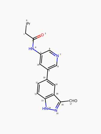 CC(C)CC(=O)Nc1cncc(-c2ccc3[nH]nc(C=O)c3c2)c1